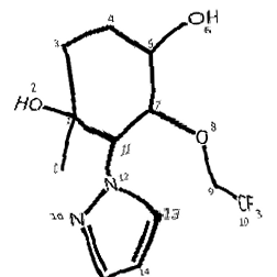 CC1(O)CCC(O)C(OCC(F)(F)F)C1n1cccn1